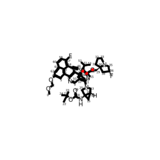 COCOc1cc(-c2ncc3c(N4C[C@@H]5C[C@]5(NC(=O)OC(C)(C)C)C4)nc(OC[C@@]45CCCN4C[C@H](F)C5)nc3c2F)c2c(C#C[Si](C(C)C)(C(C)C)C(C)C)c(F)ccc2c1